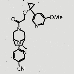 COc1cncc(C2(OCC(=O)N3CC4C[C@H](C)C(C3)N4c3ccc(C#N)cn3)CC2)c1